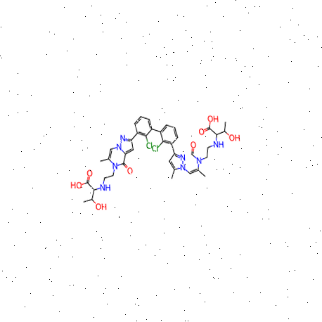 C/C(=C/n1nc(-c2cccc(-c3cccc(-c4cc5c(=O)n(CCNC(C(=O)O)C(C)O)c(C)cn5n4)c3Cl)c2Cl)cc1C)N(C=O)CCNC(C(=O)O)C(C)O